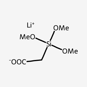 CO[Si](CC(=O)[O-])(OC)OC.[Li+]